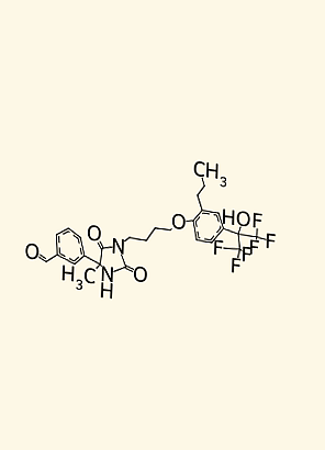 CCCc1cc(C(O)(C(F)(F)F)C(F)(F)F)ccc1OCCCCN1C(=O)NC(C)(c2cccc(C=O)c2)C1=O